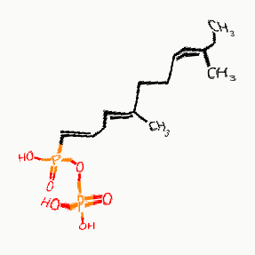 CC(C)=CCC/C(C)=C/C=C/P(=O)(O)OP(=O)(O)O